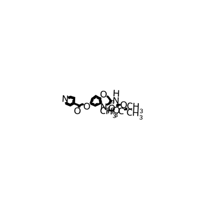 CN1C(=O)[C@@H](NC(=O)OC(C)(C)C)COc2ccc(OCC(=O)c3ccncc3)cc21